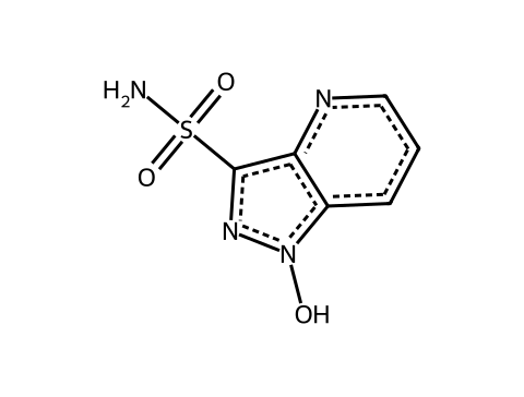 NS(=O)(=O)c1nn(O)c2cccnc12